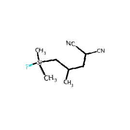 CC(CC(C#N)C#N)C[Si](C)(C)F